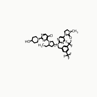 CCC1C[C@H](N(Cc2cc(C(F)(F)F)cc(C(F)(F)F)c2)c2ncc(N3CCN(C)C3=O)cn2)CN1c1nc(N2CCC(O)CC2)ncc1Cl